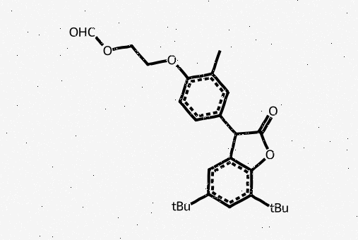 Cc1cc(C2C(=O)Oc3c2cc(C(C)(C)C)cc3C(C)(C)C)ccc1OCCOC=O